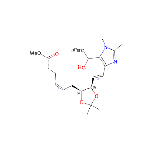 CCCCCC(O)c1c(/C=C/[C@H]2OC(C)(C)O[C@H]2C/C=C\CCC(=O)OC)nc(C)n1C